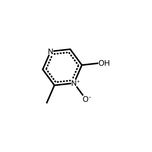 Cc1cncc(O)[n+]1[O-]